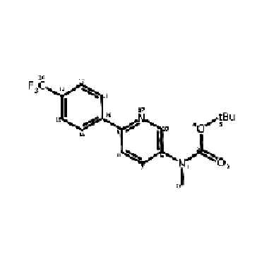 CN(C(=O)OC(C)(C)C)c1ccc(-c2ccc(C(F)(F)F)cc2)nc1